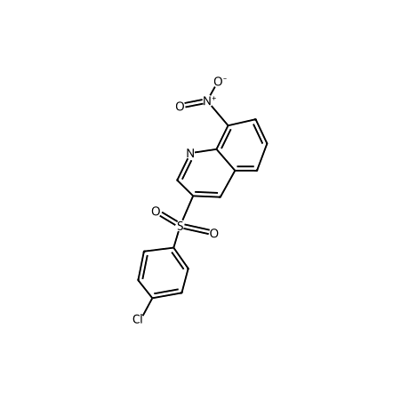 O=[N+]([O-])c1cccc2cc(S(=O)(=O)c3ccc(Cl)cc3)cnc12